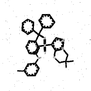 Cc1cccc(NC(=O)NS(=O)(=NC(c2ccccc2)(c2ccccc2)c2ccccc2)c2cnn3c2OCC(C)(C)C3)c1